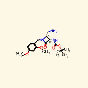 COc1ccc(CN2C(=O)[C@@H](NC(=O)OC(C)(C)C)[C@H]2CN)c(OC)c1